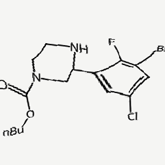 CCCCOC(=O)N1CCNC(c2cc(Cl)cc(Br)c2F)C1